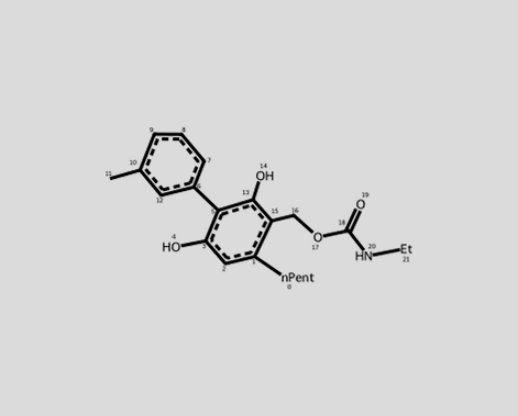 CCCCCc1cc(O)c(-c2cccc(C)c2)c(O)c1COC(=O)NCC